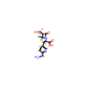 C[C@@H](O)[C@H]1C(=O)N2C(C(=O)O)=C(c3ccc(CN)nc3)S[C@H]12